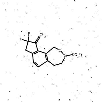 C=C1c2c(ccc3c2CCN(C(=O)OCC)CC3)CC1(F)F